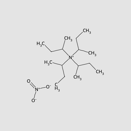 CCC(C)[N+](C(C)CC)(C(C)CC)C(C)CC.O=[N+]([O-])[O-]